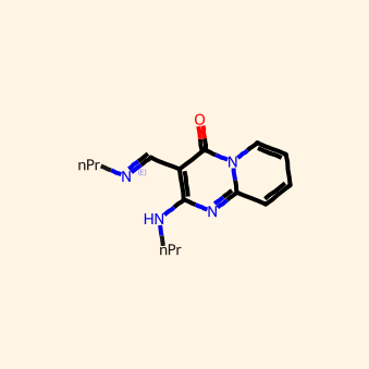 CCC/N=C/c1c(NCCC)nc2ccccn2c1=O